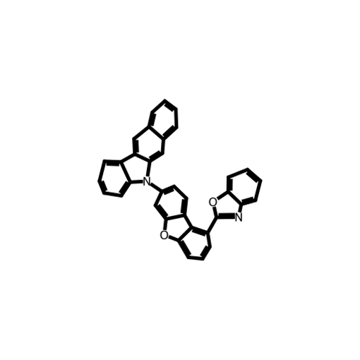 c1ccc2cc3c(cc2c1)c1ccccc1n3-c1ccc2c(c1)oc1cccc(-c3nc4ccccc4o3)c12